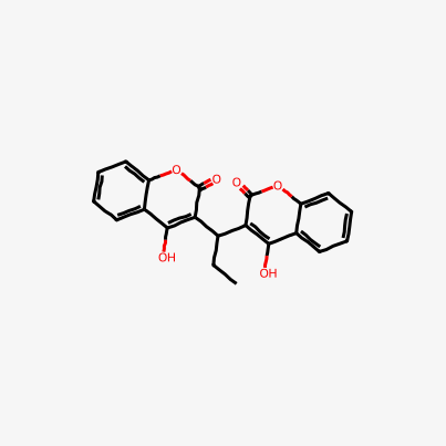 CCC(c1c(O)c2ccccc2oc1=O)c1c(O)c2ccccc2oc1=O